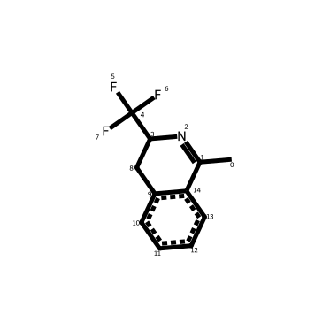 CC1=NC(C(F)(F)F)Cc2ccccc21